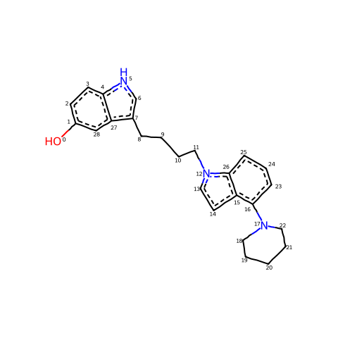 Oc1ccc2[nH]cc(CCCCn3ccc4c(N5CCCCC5)cccc43)c2c1